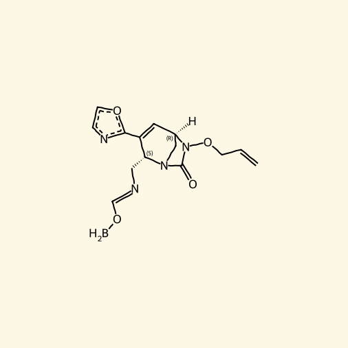 BOC=NC[C@@H]1C(c2ncco2)=C[C@@H]2CN1C(=O)N2OCC=C